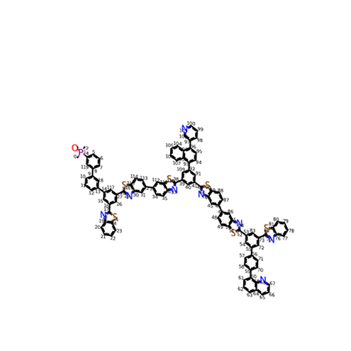 CP(C)(=O)c1cccc(-c2cccc(-c3cc(-c4nc5ccccc5s4)cc(-c4nc5cc(-c6ccc7nc(-c8cc(-c9nc%10cc(-c%11ccc%12sc(-c%13cc(-c%14ccc(-c%15cccc%16cccnc%15%16)cc%14)cc(-c%14nc%15ccccc%15s%14)c%13)nc%12c%11)ccc%10s9)cc(-c9ccc(-c%10cccnc%10)c%10ccccc9%10)c8)sc7c6)ccc5s4)c3)c2)c1